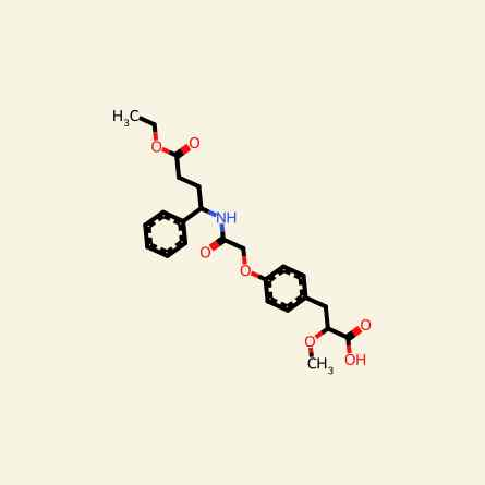 CCOC(=O)CCC(NC(=O)COc1ccc(CC(OC)C(=O)O)cc1)c1ccccc1